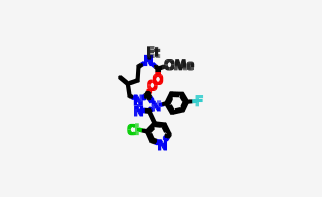 CCN(CCC(C)Cn1nc(-c2ccncc2Cl)n(-c2ccc(F)cc2)c1=O)C(=O)OC